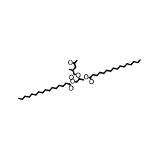 CCCCCCCCCCCCCCCC(=O)OCC(COC(=O)CCCCCCCCCCCCCCC)OC(=O)C(C)CC(C)=O